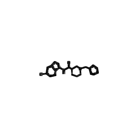 O=C(Nn1ccc2cc(Cl)ccc21)C1CCCN(Cc2ccccc2)C1